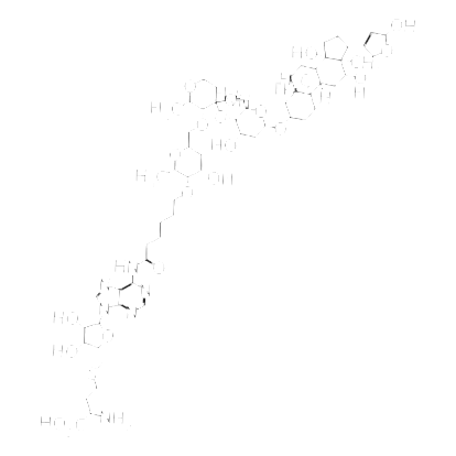 C[C@H]1OC(CO[C@@H]2[C@@H](C)OCCC2(O)O[C@H]2[C@@H](O)C[C@H](O[C@@H]3CC[C@@]4(C)[C@H](CCC5[C@@H]4C[C@@H](O)[C@]4(C)[C@@H](C6=CC(O)OC6)CC[C@]54O)C3)O[C@@H]2C)C[C@H](O)[C@@H]1OCCCCCC(=O)Nc1ncnc2c1ncn2C1O[C@H](CSCC[C@H](N)C(=O)O)[C@@H](O)[C@H]1O